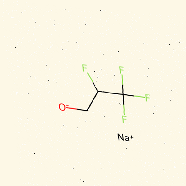 [Na+].[O-]CC(F)C(F)(F)F